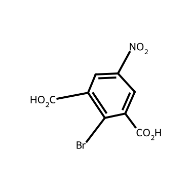 O=C(O)c1cc([N+](=O)[O-])cc(C(=O)O)c1Br